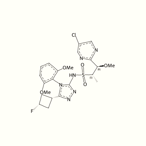 COc1cccc(OC)c1-n1c(NS(=O)(=O)[C@@H](C)[C@H](OC)c2ncc(Cl)cn2)nnc1[C@H]1C[C@@H](F)C1